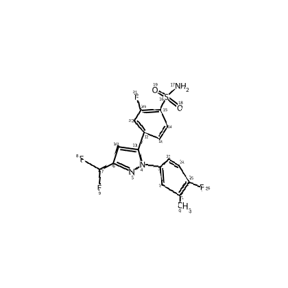 Cc1cc(-n2nc(C(F)F)cc2-c2ccc(S(N)(=O)=O)c(F)c2)ccc1F